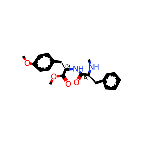 CN[C@@H](Cc1ccccc1)C(=O)N[C@@H](Cc1ccc(OC)cc1)C(=O)OC